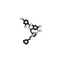 Cl.Clc1ccc(COC(CC2NC=CN2CCc2ccccc2)c2ccc(Cl)cc2Cl)c(Cl)c1